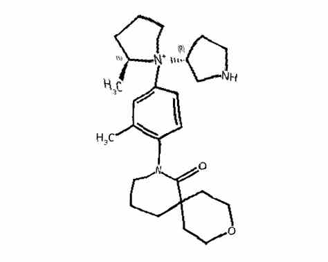 Cc1cc([N+]2([C@@H]3CCNC3)CCC[C@@H]2C)ccc1N1CCCC2(CCOCC2)C1=O